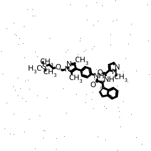 Cc1nn(COCCS(C)(C)C)c(C)c1-c1ccc(NC(=O)[C@@H](NC(=O)c2ccnn2C)[C@@H]2CCc3ccccc32)cc1